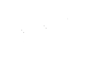 c1ccc(-n2c3ccccc3c3c4ccccc4c4c(c5ccccc5n4-c4ccc5c(c4)oc4ccccc45)c32)cc1